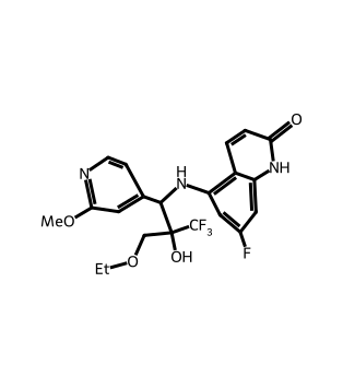 CCOCC(O)(C(Nc1cc(F)cc2[nH]c(=O)ccc12)c1ccnc(OC)c1)C(F)(F)F